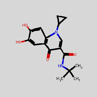 CC(C)(C)NC(=O)c1cn(C2CC2)c2cc(O)c(O)cc2c1=O